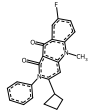 Cn1c2ccc(F)cc2c(=O)c2c(=O)n(-c3ccccc3)c(C3CCC3)cc21